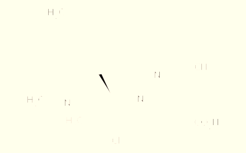 C=C/C=C(\C[C@H](C(C)Cl)n1cc(C(=O)O)c(C)n1)N=C